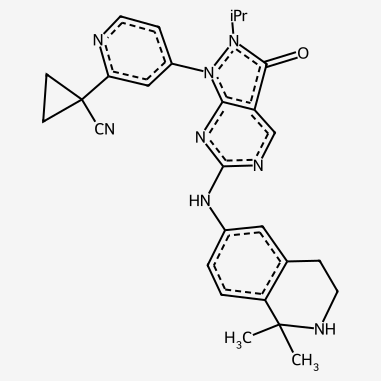 CC(C)n1c(=O)c2cnc(Nc3ccc4c(c3)CCNC4(C)C)nc2n1-c1ccnc(C2(C#N)CC2)c1